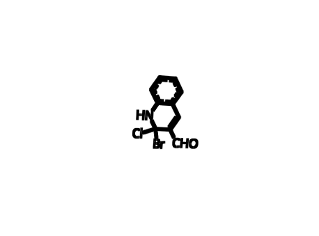 O=CC1=Cc2ccccc2NC1(Cl)Br